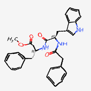 COC(=O)[C@@H](Cc1ccccc1)NC(=O)[C@@H](Cc1c[nH]c2ccccc12)NC(=O)Cc1ccccc1